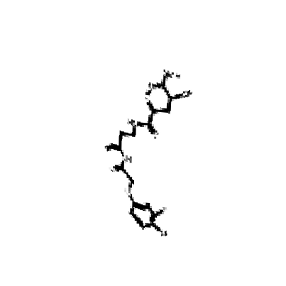 C=C(CCNC(=O)C1CC(C#N)C(SC)OS1)NC(=O)COc1ccc(Cl)c(F)c1